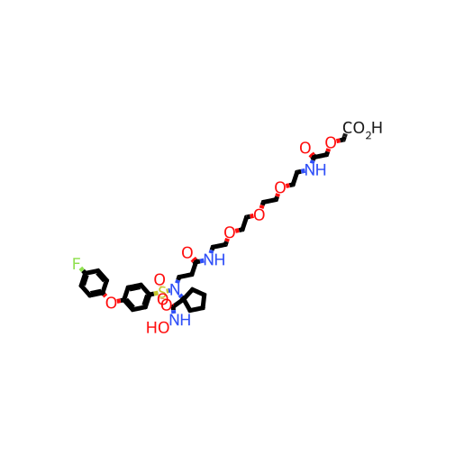 O=C(O)COCC(=O)NCCOCCOCCOCCNC(=O)CCN(C1(C(=O)NO)CCCC1)S(=O)(=O)c1ccc(Oc2ccc(F)cc2)cc1